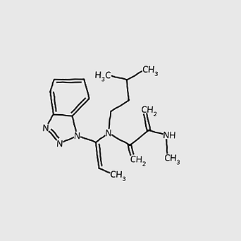 C=C(NC)C(=C)N(CCC(C)C)C(=CC)n1nnc2ccccc21